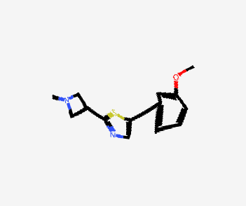 COc1cccc(-c2cnc(C3CN(C)C3)s2)c1